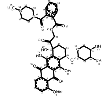 COc1cccc2c1C(=O)c1c(O)c3c(c(O)c1C2=O)[C@@](O)(C(=O)COC(=O)c1c(C(=O)N2CCN(C)CC2)c2ccc1o2)CC[C@@H]3O[C@H]1C[C@H](N)[C@H](O)CO1